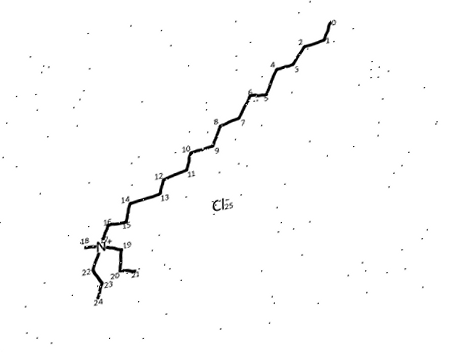 CCCCCCCCCCCCCCCCC[N+](C)(CCC)CCC.[Cl-]